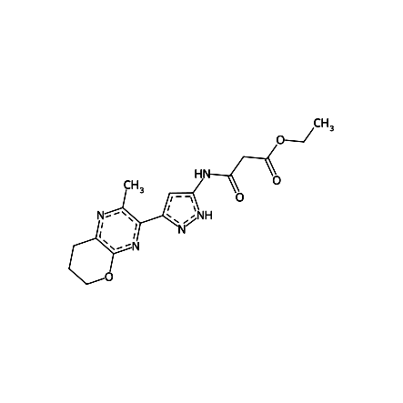 CCOC(=O)CC(=O)Nc1cc(-c2nc3c(nc2C)CCCO3)n[nH]1